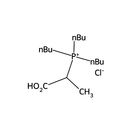 CCCC[P+](CCCC)(CCCC)C(C)C(=O)O.[Cl-]